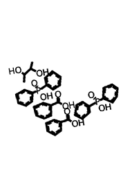 CC(O)C(C)O.O=C(O)c1ccccc1.O=C(O)c1ccccc1.O=P(O)(c1ccccc1)c1ccccc1.O=P(O)(c1ccccc1)c1ccccc1